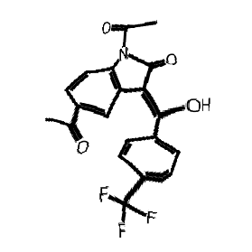 CC(=O)c1ccc2c(c1)/C(=C(/O)c1ccc(C(F)(F)F)cc1)C(=O)N2C(C)=O